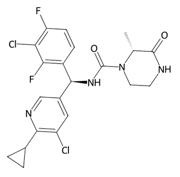 C[C@@H]1C(=O)NCCN1C(=O)N[C@@H](c1cnc(C2CC2)c(Cl)c1)c1ccc(F)c(Cl)c1F